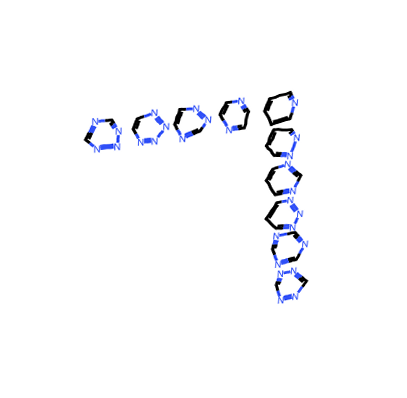 c1ccncc1.c1ccnnc1.c1cnccn1.c1cncnc1.c1cnncn1.c1cnnnc1.c1cnnnn1.c1ncncn1.c1ncnnn1.c1nncnn1